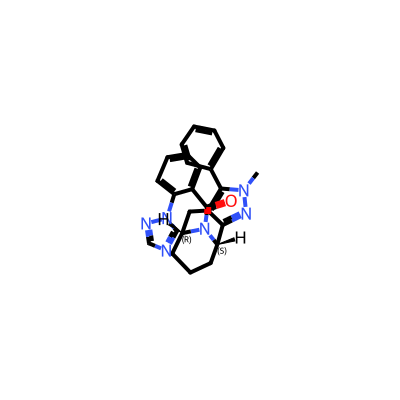 Cn1nc2c(c1-c1ccccc1)C[C@H]1CCC[C@@H]2N1C(=O)c1ccccc1-n1cncn1